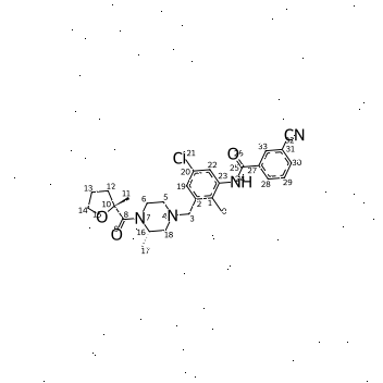 Cc1c(CN2CCN(C(=O)[C@@]3(C)CCCO3)[C@@H](C)C2)cc(Cl)cc1NC(=O)c1cccc(C#N)c1